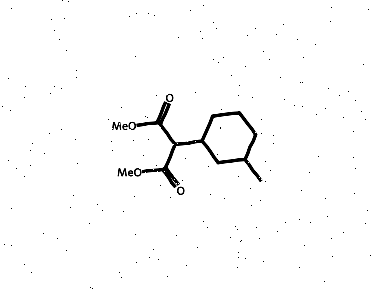 COC(=O)C(C(=O)OC)C1CCCC(C)C1